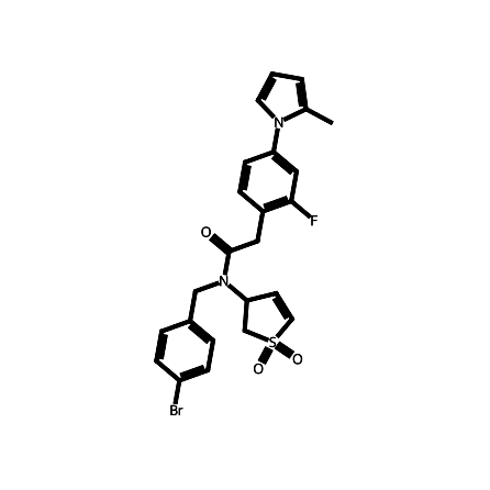 Cc1cccn1-c1ccc(CC(=O)N(Cc2ccc(Br)cc2)C2C=CS(=O)(=O)C2)c(F)c1